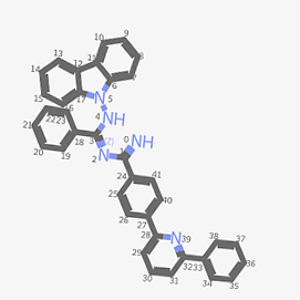 N=C(/N=C(\Nn1c2ccccc2c2ccccc21)c1ccccc1)c1ccc(-c2cccc(-c3ccccc3)n2)cc1